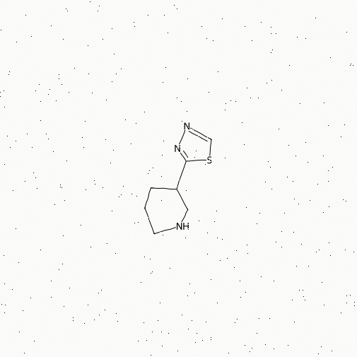 c1nnc(C2CCCNC2)s1